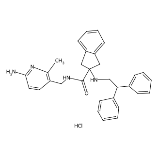 Cc1nc(N)ccc1CNC(=O)C1(NCC(c2ccccc2)c2ccccc2)Cc2ccccc2C1.Cl